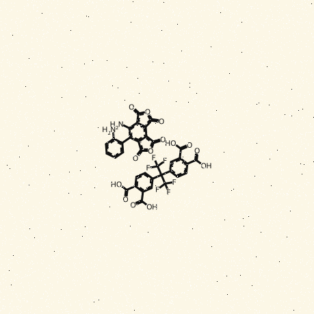 Nc1ccccc1-c1c(N)c2c(=O)oc(=O)c2c2c(=O)oc(=O)c12.O=C(O)c1ccc(C(c2ccc(C(=O)O)c(C(=O)O)c2)(C(F)(F)F)C(F)(F)F)cc1C(=O)O